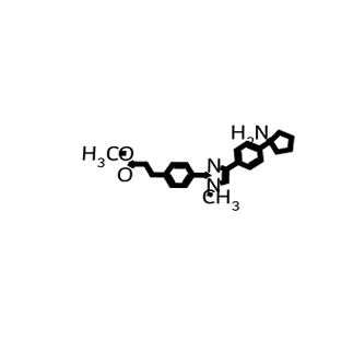 COC(=O)CCc1ccc(-c2nc(-c3ccc(C4(N)CCCC4)cc3)cn2C)cc1